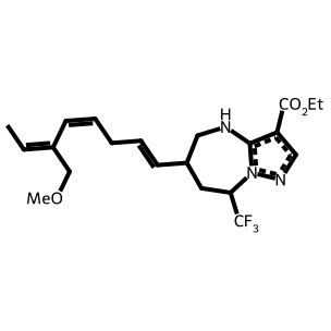 C/C=C(\C=C/C/C=C/C1CNc2c(C(=O)OCC)cnn2C(C(F)(F)F)C1)COC